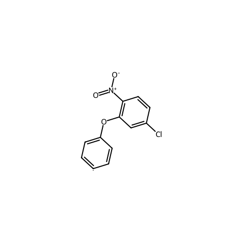 O=[N+]([O-])c1ccc(Cl)cc1Oc1cc[c]cc1